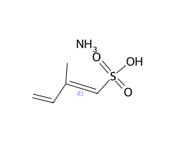 C=C/C(C)=C/S(=O)(=O)O.N